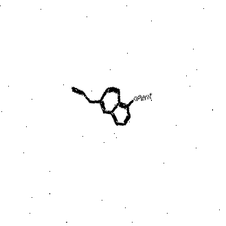 C=CCc1ccc2c(CCCCC)cccc2c1